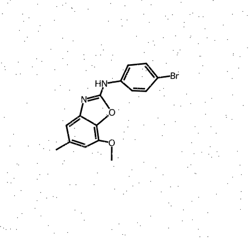 COc1cc(C)cc2nc(Nc3ccc(Br)cc3)oc12